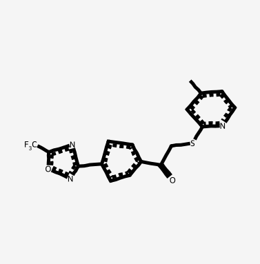 Cc1ccnc(SCC(=O)c2ccc(-c3noc(C(F)(F)F)n3)cc2)c1